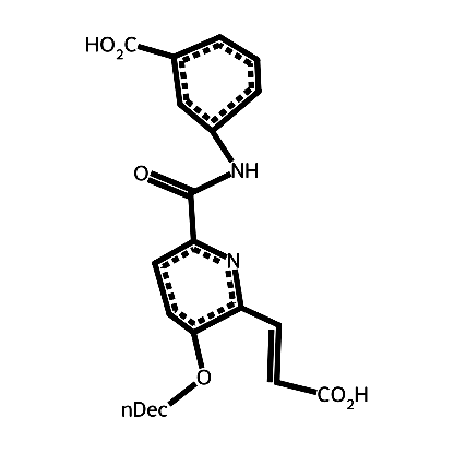 CCCCCCCCCCOc1ccc(C(=O)Nc2cccc(C(=O)O)c2)nc1/C=C/C(=O)O